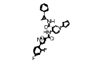 O=C(N[C@@H]1CCN(C2CCCC2)C[C@H]1C(=O)N[C@@H]1C[C@H]1c1ccccc1)c1cc(-c2ccc(F)cc2F)no1